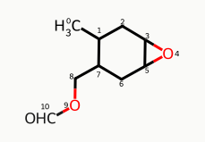 CC1CC2OC2CC1COC=O